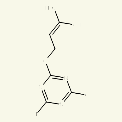 CC(C)=CCOc1nc(Cl)nc(Cl)n1